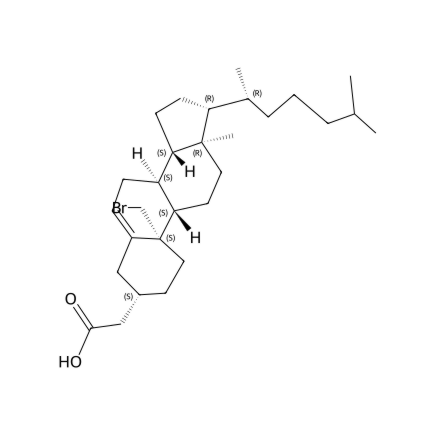 CC(C)CCC[C@@H](C)[C@H]1CC[C@H]2[C@@H]3CC=C4C[C@@H](CC(=O)O)CC[C@]4(CBr)[C@H]3CC[C@]12C